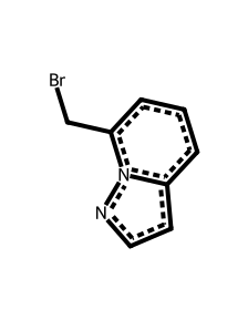 BrCc1cccc2ccnn12